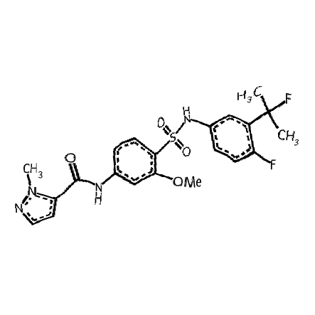 COc1cc(NC(=O)c2ccnn2C)ccc1S(=O)(=O)Nc1ccc(F)c(C(C)(C)F)c1